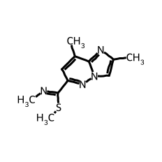 C/N=C(\SC)c1cc(C)c2nc(C)cn2n1